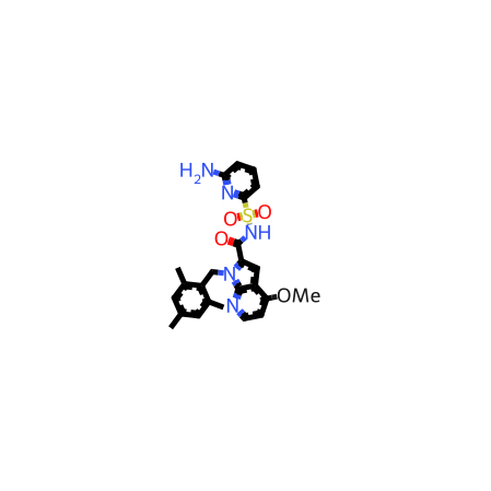 COc1ccnc2c1cc(C(=O)NS(=O)(=O)c1cccc(N)n1)n2Cc1c(C)cc(C)cc1C